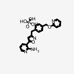 Nc1ncccc1-c1cc(Cc2ccc(COc3ccccn3)cc2)no1.O=P(O)(O)O